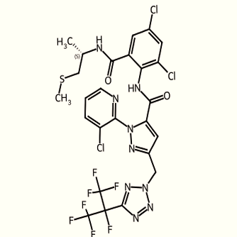 CSC[C@H](C)NC(=O)c1cc(Cl)cc(Cl)c1NC(=O)c1cc(Cn2nnc(C(F)(C(F)(F)F)C(F)(F)F)n2)nn1-c1ncccc1Cl